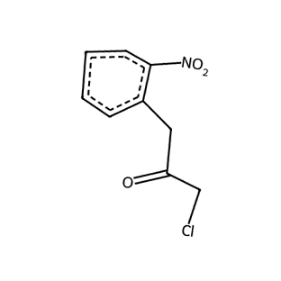 O=C(CCl)Cc1ccccc1[N+](=O)[O-]